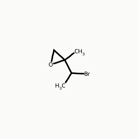 CC(Br)C1(C)CO1